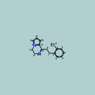 CCc1ccccc1CCC1=NCCn2cccc21